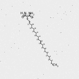 CCCCCCCCCCCC=CCCCCCCCCCCCC(C(N)=O)C(N)=O